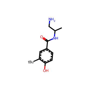 CC(CN)NC(=O)c1ccc(O)c(C(C)(C)C)c1